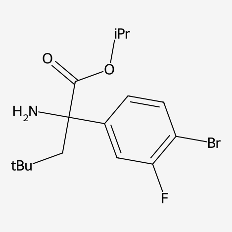 CC(C)OC(=O)C(N)(CC(C)(C)C)c1ccc(Br)c(F)c1